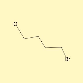 [O]CCC[CH]Br